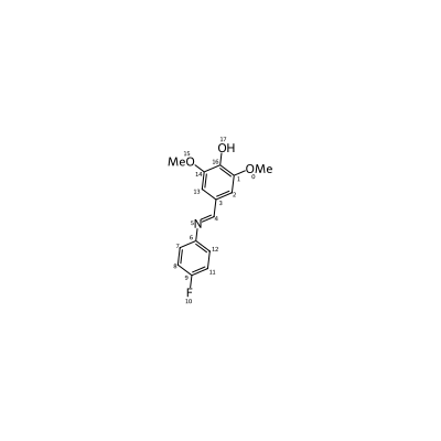 COc1cc(C=Nc2ccc(F)cc2)cc(OC)c1O